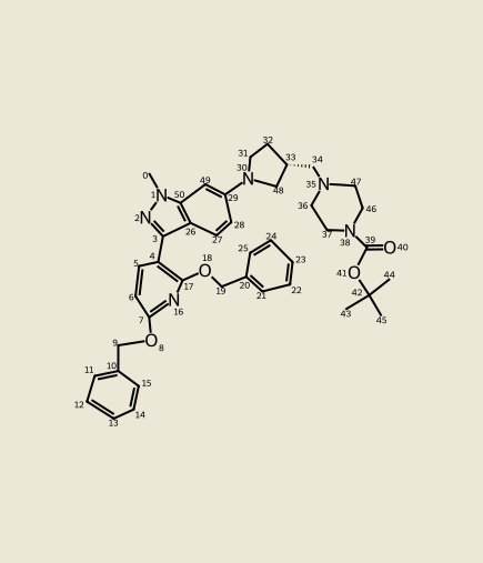 Cn1nc(-c2ccc(OCc3ccccc3)nc2OCc2ccccc2)c2ccc(N3CC[C@H](CN4CCN(C(=O)OC(C)(C)C)CC4)C3)cc21